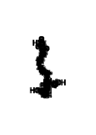 C[C@@]1(O)CCCN(c2nc(OCC3(CN4CCC5(CC4)CC(CN4CCN(c6ccc7c(c6)CN([C@H]6CCC(=O)NC6=O)C7=O)CC4)C5)CC3)nc3c(F)c(-c4cc(O)cc5ccc(F)c(Cl)c45)ncc23)C1